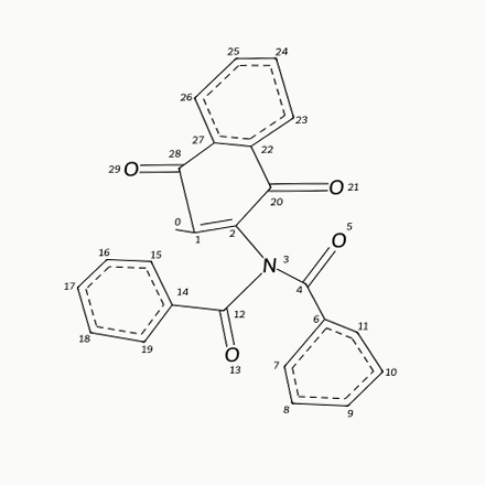 CC1=C(N(C(=O)c2ccccc2)C(=O)c2ccccc2)C(=O)c2ccccc2C1=O